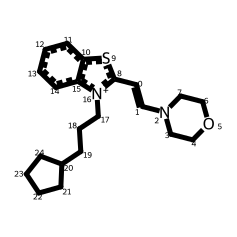 C(=C\N1CCOCC1)/c1sc2ccccc2[n+]1CCCC1CCCC1